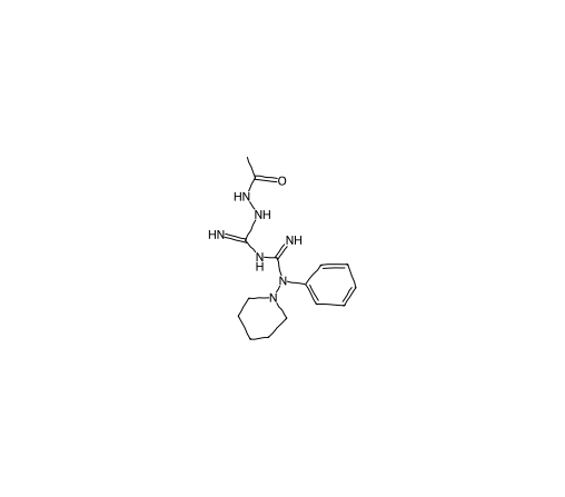 CC(=O)NNC(=N)NC(=N)N(c1ccccc1)N1CCCCC1